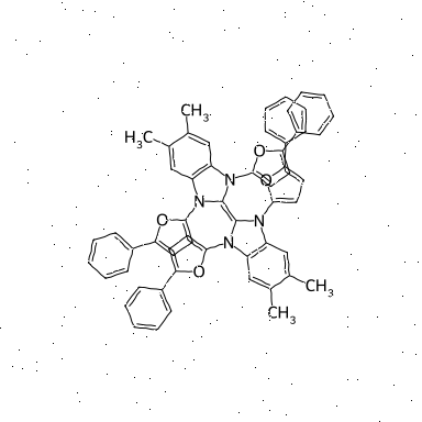 Cc1cc2c(cc1C)N(c1ccc(-c3ccccc3)o1)C(=C1N(c3ccc(-c4ccccc4)o3)c3cc(C)c(C)cc3N1c1ccc(-c3ccccc3)o1)N2c1ccc(-c2ccccc2)o1